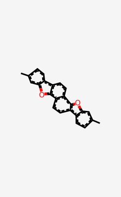 Cc1ccc2c(c1)oc1c2ccc2c1ccc1c3ccc(C)cc3oc12